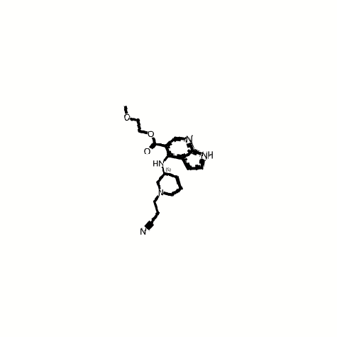 COCCOC(=O)c1cnc2[nH]ccc2c1N[C@H]1CCCN(CCC#N)C1